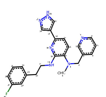 O=CN(Cc1cccnc1)c1ccc(-c2cn[nH]c2)nc1NCCc1cccc(F)c1